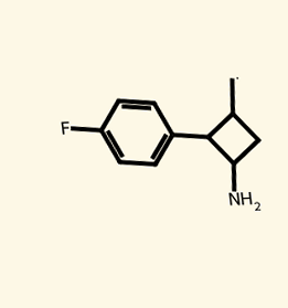 [CH2]C1CC(N)C1c1ccc(F)cc1